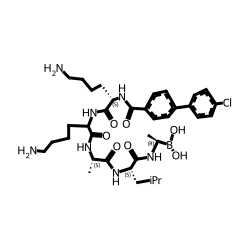 CC(C)C[C@H](NC(=O)[C@H](C)NC(=O)C(CCCCN)NC(=O)[C@H](CCCCN)NC(=O)c1ccc(-c2ccc(Cl)cc2)cc1)C(=O)N[C@@H](C)B(O)O